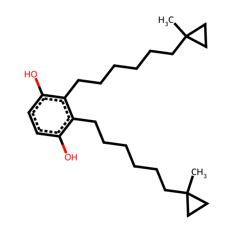 CC1(CCCCCCc2c(O)ccc(O)c2CCCCCCC2(C)CC2)CC1